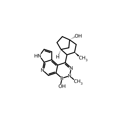 C[C@@H]1C[C@]2(O)CC[C@@H](C2)C1C1=NN(C)B(O)c2cnc3[nH]ccc3c21